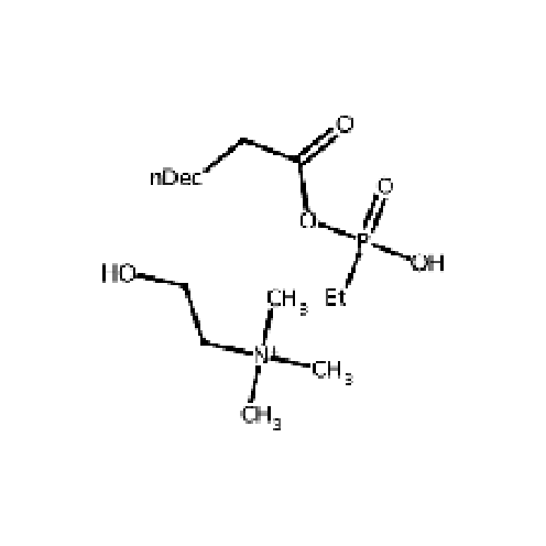 CCCCCCCCCCCC(=O)OP(=O)(O)CC.C[N+](C)(C)CCO